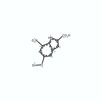 CCOc1cc([N+](=O)[O-])c2[nH]c(C(=O)O)cc2c1